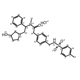 Cc1ccc(S(=O)(=O)NCc2ccc(CC(=O)N(C)C(CN3CCC(O)C3)c3ccccc3)cc2)cc1.Cl